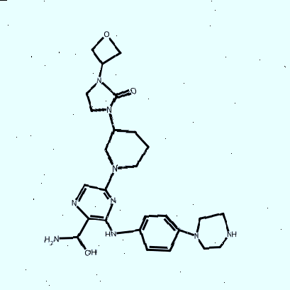 NC(O)c1ncc(N2CCCC(N3CCN(C4COC4)C3=O)C2)nc1Nc1ccc(N2CCNCC2)cc1